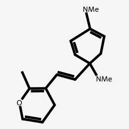 CNC1=CCC(C=CC2=C(C)OC=CC2)(NC)C=C1